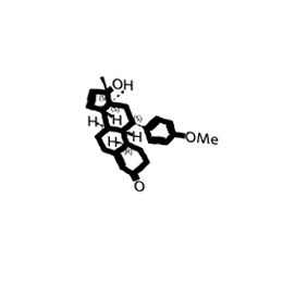 COc1ccc([C@H]2C[C@@]3(C)[C@@H](C=C[C@]3(C)O)[C@@H]3CCC4=CC(=O)CC[C@@H]4[C@H]32)cc1